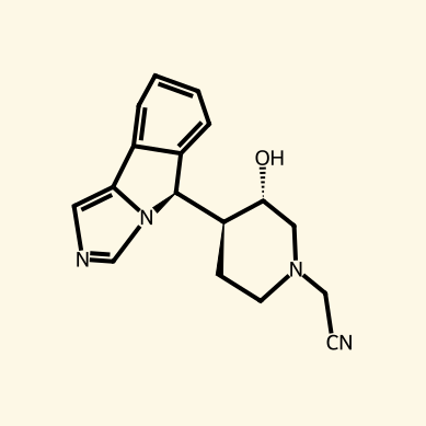 N#CCN1CC[C@@H]([C@@H]2c3ccccc3-c3cncn32)[C@H](O)C1